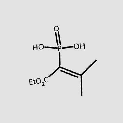 CCOC(=O)C(=C(C)C)P(=O)(O)O